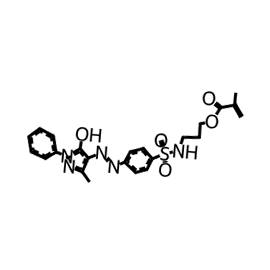 C=C(C)C(=O)OCCCNS(=O)(=O)c1ccc(N=Nc2c(C)nn(-c3ccccc3)c2O)cc1